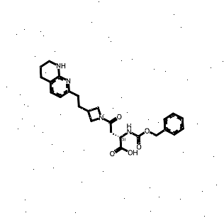 O=C(N[C@@H](CC(=O)N1CC(CCc2ccc3c(n2)NCCC3)C1)C(=O)O)OCc1ccccc1